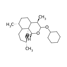 C[C@H]1C(OC2CCCCC2)O[C@@H]2O[C@]3(C)CCC4[C@H](C)CCC1[C@]42OO3